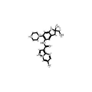 CC(=O)c1cnc2c(C(=O)Nc3cc4c(cc3N3CCOCC3)OC(C)(CO)C4)cnn2c1